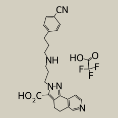 N#Cc1ccc(CCCNCCCn2nc3c(c2C(=O)O)CCc2cnccc2-3)cc1.O=C(O)C(F)(F)F